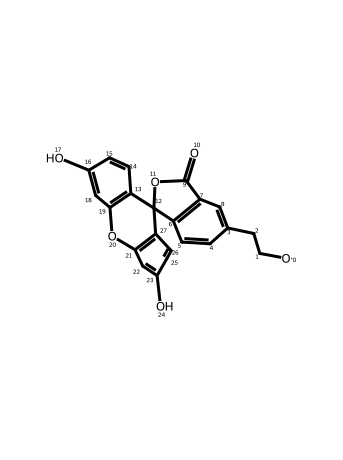 [O]CCc1ccc2c(c1)C(=O)OC21c2ccc(O)cc2Oc2cc(O)ccc21